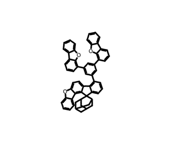 c1cc(-c2cc(-c3cccc4c3oc3ccccc34)cc(-c3cccc4c3oc3ccccc34)c2)c2c(c1)C1(c3c-2ccc2oc4ccccc4c32)C2CC3CC(C2)CC1C3